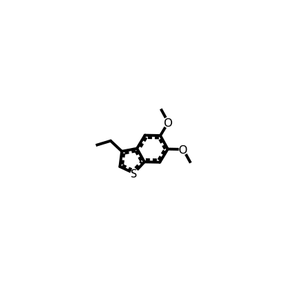 CCc1csc2cc(OC)c(OC)cc12